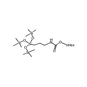 CCCCCCOC(=O)NCCC[Si](O[Si](C)(C)C)(O[Si](C)(C)C)O[Si](C)(C)C